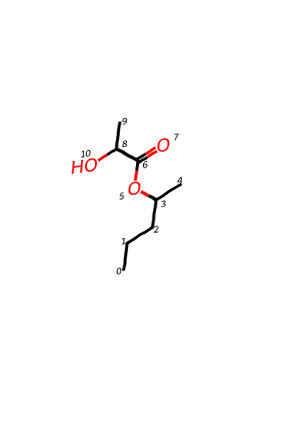 CCCC(C)OC(=O)C(C)O